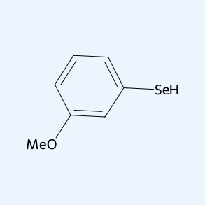 COc1cccc([SeH])c1